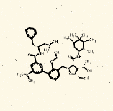 CCOc1c(CN2O[C@@H](CO)[C@@H]([C@H](C)O)[C@H]2C(=O)N[C@H]2C[C@@H](C)C(C)(C)[C@@H](C)[C@@H]2C)cccc1-c1cc(C(=O)N[C@H](Cc2ccccc2)CN(C)C)cc(N(C)C)c1